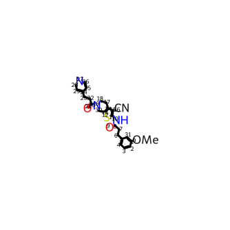 COc1cccc(CCC(=O)Nc2sc3c(c2C#N)CCN(C(=O)CCc2ccncc2)C3)c1